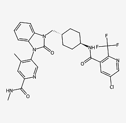 CNC(=O)c1cc(C)c(-n2c(=O)n(C[C@H]3CC[C@H](NC(=O)c4cc(Cl)cnc4C(F)(F)F)CC3)c3ccccc32)cn1